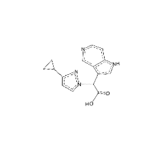 O=C(O)C(c1c[nH]c2ccncc12)n1ccc(C2CC2)n1